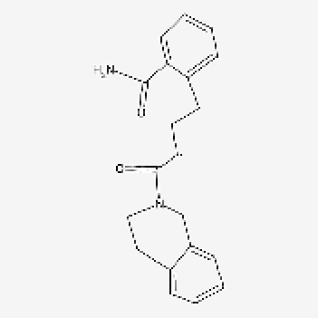 NC(=O)c1ccccc1CC[CH]C(=O)N1CCc2ccccc2C1